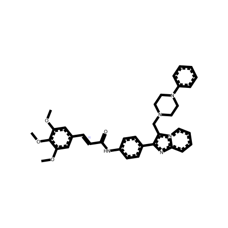 COc1cc(/C=C/C(=O)Nc2ccc(-c3nc4ccccn4c3CN3CCN(c4ccccc4)CC3)cc2)cc(OC)c1OC